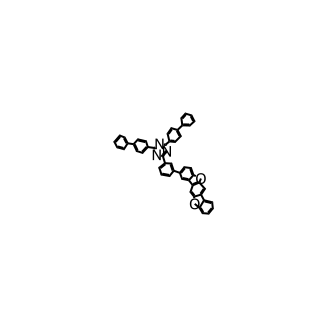 c1ccc(-c2ccc(-c3nc(-c4ccc(-c5ccccc5)cc4)nc(-c4cccc(-c5ccc6oc7cc8c(cc7c6c5)oc5ccccc58)c4)n3)cc2)cc1